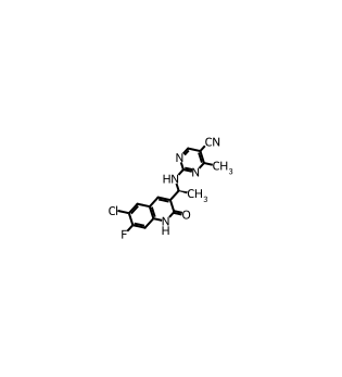 Cc1nc(N[C@@H](C)c2cc3cc(Cl)c(F)cc3[nH]c2=O)ncc1C#N